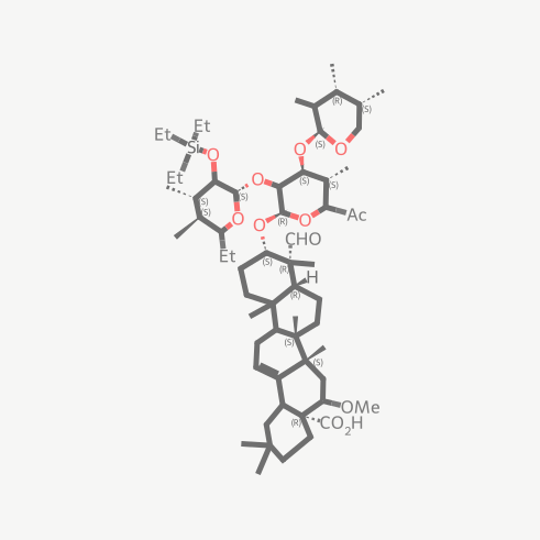 CCC1O[C@@H](OC2[C@H](O[C@H]3CCC4(C)C5CC=C6C7CC(C)(C)CC[C@]7(C(=O)O)C(OC)C[C@@]6(C)[C@@]5(C)CC[C@H]4[C@@]3(C)C=O)OC(C(C)=O)[C@@H](C)[C@@H]2O[C@@H]2OC[C@@H](C)[C@@H](C)C2C)C(O[Si](CC)(CC)CC)[C@@H](C)[C@@H]1C